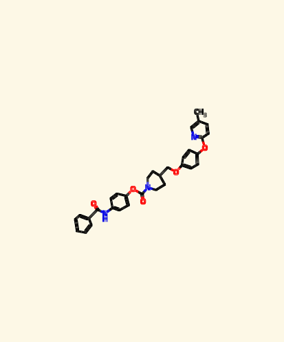 Cc1ccc(Oc2ccc(OCC3CCN(C(=O)Oc4ccc(NC(=O)c5ccccc5)cc4)CC3)cc2)nc1